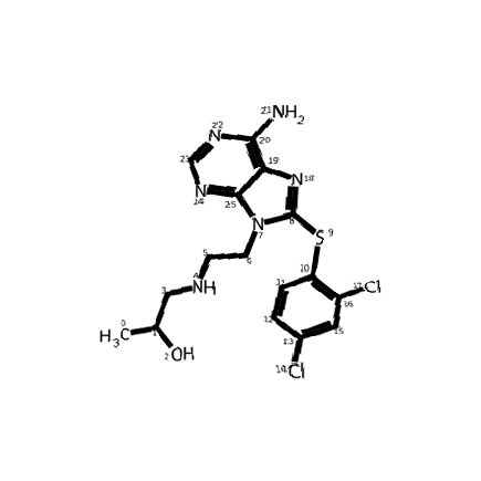 CC(O)CNCCn1c(Sc2ccc(Cl)cc2Cl)nc2c(N)ncnc21